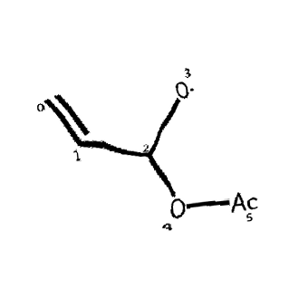 C=CC([O])OC(C)=O